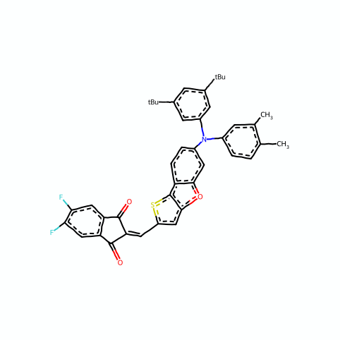 Cc1ccc(N(c2cc(C(C)(C)C)cc(C(C)(C)C)c2)c2ccc3c(c2)oc2cc(C=C4C(=O)c5cc(F)c(F)cc5C4=O)sc23)cc1C